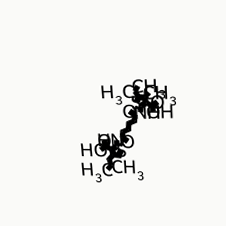 Cc1c(C(C)C)sc(NC(=O)CCCCC(=O)Nc2scc(CC(C)C)c2C(=O)O)c1C(=O)O